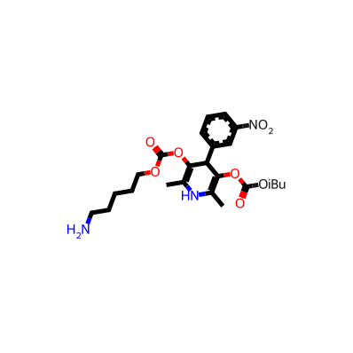 CC1=C(OC(=O)OCCCCCN)C(c2cccc([N+](=O)[O-])c2)C(OC(=O)OCC(C)C)=C(C)N1